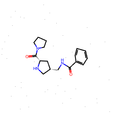 O=C(NC[C@@H]1CN[C@H](C(=O)N2CCCC2)C1)c1ccccc1